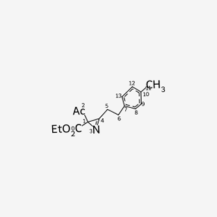 CCOC(=O)C1(C(C)=O)N=C1CCc1ccc(C)cc1